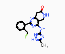 Cc1nc(Nc2nc(-c3ccccc3CF)nc3c2CNC(=O)C3)n[nH]1